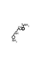 CN(CCCNCC1CCC(N)CC1)Cc1cccc(C(N)=S)c1